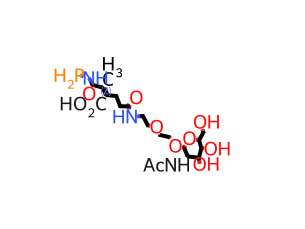 CC(=O)NC1C(OCCOCCNC(=O)CC/C(C(=O)O)=C(\C)C(=O)NP)OC(CO)C(O)C1O